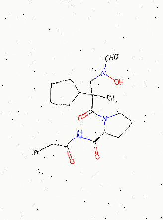 CC(C)CC(=O)NC(=O)[C@@H]1CCCN1C(=O)C(C)(CN(O)C=O)C1CCCC1